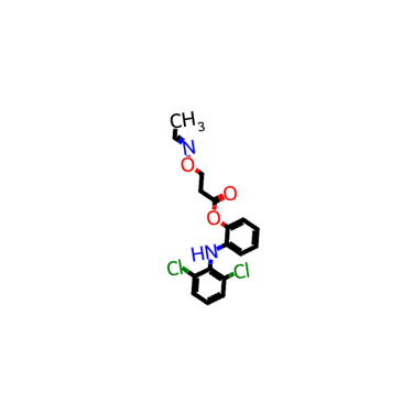 CC=NOCCC(=O)Oc1ccccc1Nc1c(Cl)cccc1Cl